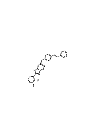 Fc1cccc(-c2nc3cnn(Cc4ccc(C=Cc5ccccc5)cc4)cc-3n2)c1F